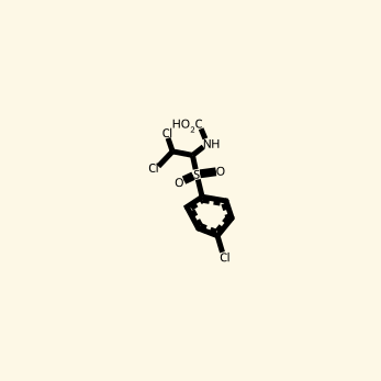 O=C(O)NC(C(Cl)Cl)S(=O)(=O)c1ccc(Cl)cc1